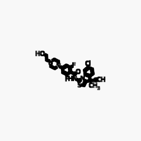 C#C[C@@](C)(c1ccc(Cl)cc1)c1csc(NC(=O)c2c(F)cc(N3CCN(CCO)CC3)cc2F)n1